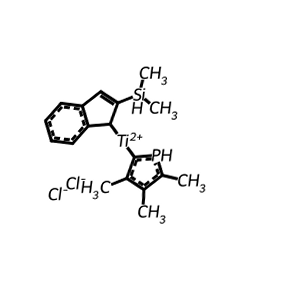 Cc1[pH][c]([Ti+2][CH]2C([SiH](C)C)=Cc3ccccc32)c(C)c1C.[Cl-].[Cl-]